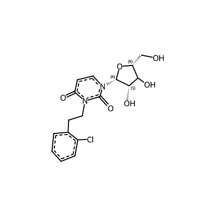 O=c1ccn([C@@H]2O[C@H](CO)C(O)[C@@H]2O)c(=O)n1CCc1ccccc1Cl